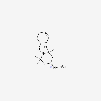 CCCC/N=C1/CC(C)(C)N(OC2CC=CCC2)C(C)(CC)C1